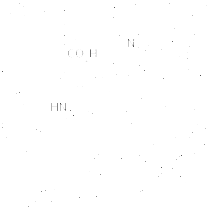 CN(C)Cc1c(C(=O)O)[nH]c2ccccc12